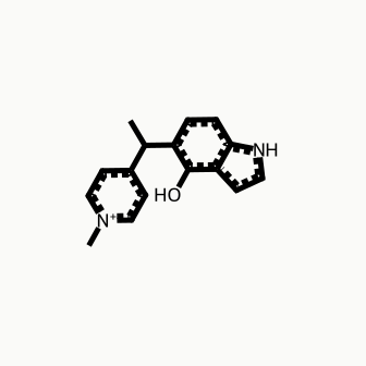 CC(c1cc[n+](C)cc1)c1ccc2[nH]ccc2c1O